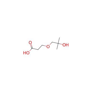 CC(C)(O)COCCC(=O)O